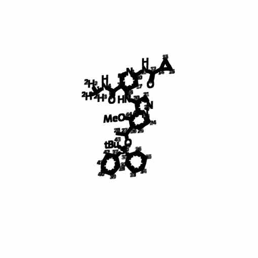 [2H]C([2H])([2H])NC(=O)c1cnc(NC(=O)C2CC2)cc1Nc1cnn2ccc(C(C)O[Si](c3ccccc3)(c3ccccc3)C(C)(C)C)c(OC)c12